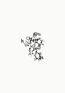 C[C@H](NC(=O)OC(C)(C)C)C(=O)O[C@@H](C)[C@@H](Oc1ccccc1)c1cccnc1